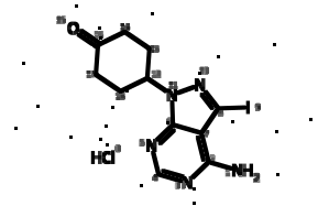 Cl.Nc1ncnc2c1c(I)nn2C1CCC(=O)CC1